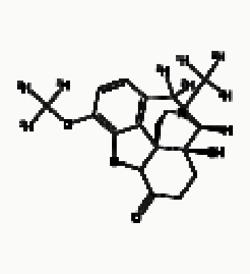 [2H]C([2H])([2H])Oc1ccc2c3c1OC1C(=O)CC[C@@]4(O)[C@H](N(C([2H])([2H])[2H])CC[C@]314)C2([2H])[2H]